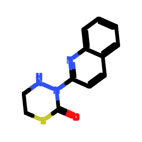 O=C1SCCNN1c1ccc2ccccc2n1